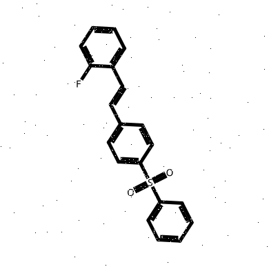 O=S(=O)(c1ccccc1)c1ccc(C=Cc2ccccc2F)cc1